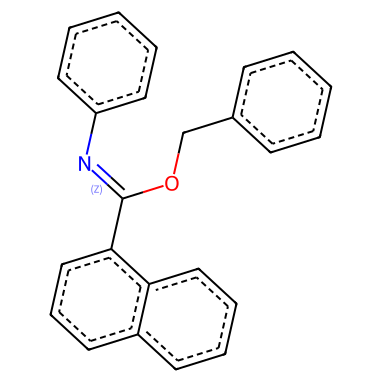 c1ccc(CO/C(=N\c2ccccc2)c2cccc3ccccc23)cc1